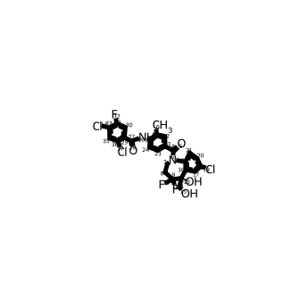 Cc1cc(C(=O)N2CCC(F)(F)[C@](O)(CO)c3cc(Cl)ccc32)ccc1NC(=O)c1cc(F)c(Cl)cc1Cl